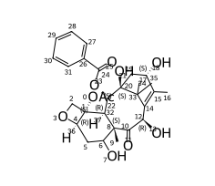 CC(=O)O[C@@]12CO[C@@H]1CC(O)[C@@]1(C)C(=O)[C@H](O)C3=C(C)[C@@H](O)C[C@@](O)([C@@H](OC(=O)c4ccccc4)[C@H]21)C3(C)C